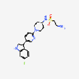 NCCS(=O)(=O)NC1CCN(c2ccc(-c3c[nH]c4cc(F)ccc34)cn2)CC1